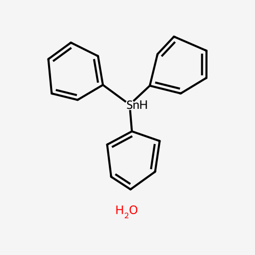 O.c1cc[c]([SnH]([c]2ccccc2)[c]2ccccc2)cc1